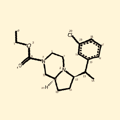 CCOC(=O)N1CCN2[C@@H](CC[C@@H]2C(C)c2cccc(Cl)c2)C1